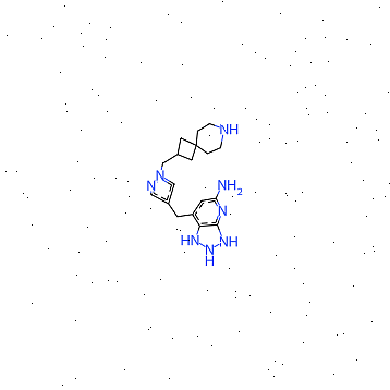 Nc1cc(Cc2cnn(CC3CC4(CCNCC4)C3)c2)c2c(n1)NNN2